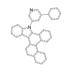 c1ccc(-c2cncc(-n3c4ccccc4c4c5ccc6ccccc6c5c5ccccc5c43)c2)cc1